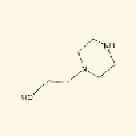 OCCN1C[CH]NCC1